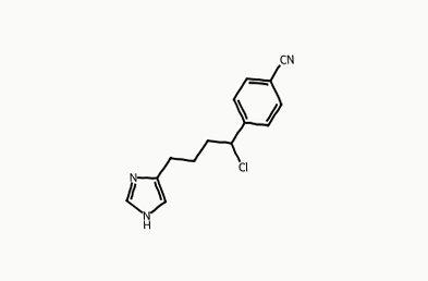 N#Cc1ccc(C(Cl)CCCc2c[nH]cn2)cc1